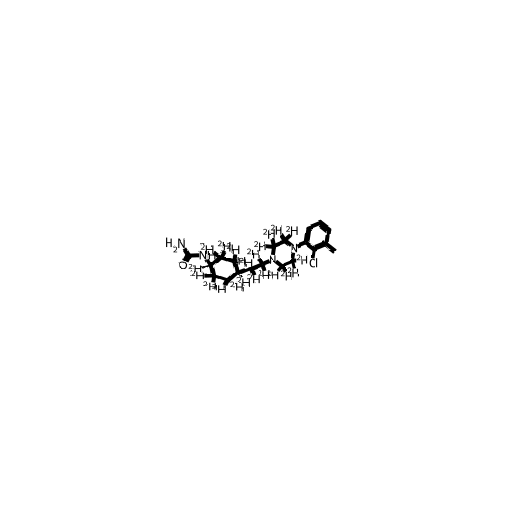 [2H]C1([2H])N(c2cccc(C)c2Cl)C([2H])([2H])C([2H])([2H])N(C([2H])([2H])C([2H])([2H])[C@]2([2H])C([2H])([2H])C([2H])([2H])[C@@]([2H])(NC(N)=O)C([2H])([2H])C2([2H])[2H])C1([2H])[2H]